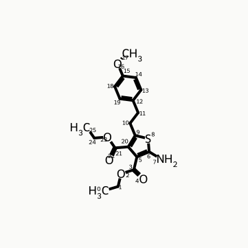 CCOC(=O)c1c(N)sc(CCc2ccc(OC)cc2)c1C(=O)OCC